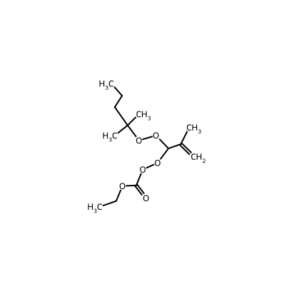 C=C(C)C(OOC(=O)OCC)OOC(C)(C)CCC